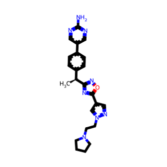 C[C@@H](c1ccc(-c2cnc(N)nc2)cc1)c1noc(-c2cnn(CCN3CCCC3)c2)n1